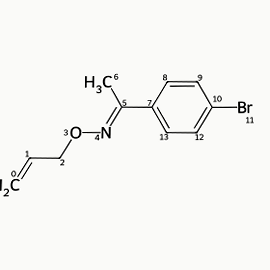 C=CCON=C(C)c1ccc(Br)cc1